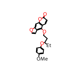 CCC(CCOc1c2ccoc2cc2oc(=O)ccc12)Oc1ccc(OC)cc1